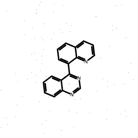 c1cnc2c(-c3ncnc4ccccc34)cccc2c1